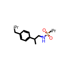 CC(C)Cc1ccc(C(C)CNS(=O)(=O)C(C)C)cc1